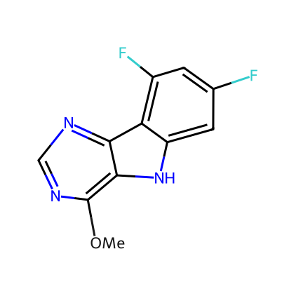 COc1ncnc2c1[nH]c1cc(F)cc(F)c12